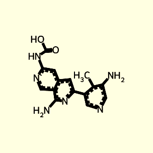 Cc1c(N)cncc1-c1cc2cc(NC(=O)O)ncc2c(N)n1